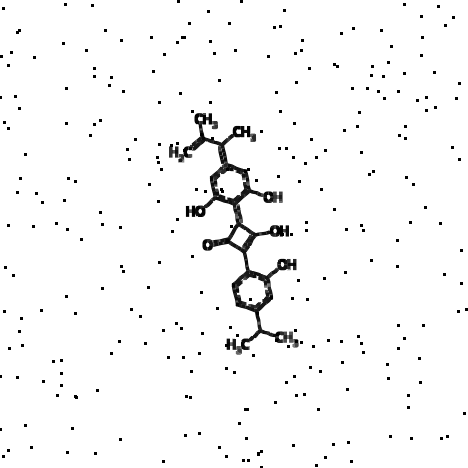 C=C(C)C(C)=c1cc(O)c(=C2C(=O)C(c3ccc(C(C)C)cc3O)=C2O)c(O)c1